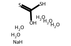 O.O.O.O.O.OC(=S)S.[NaH]